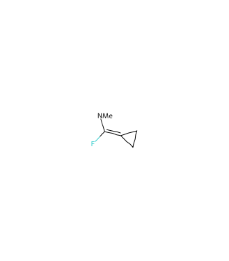 CNC(F)=C1CC1